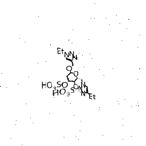 CCc1cn(C[C@H]2O[C@H](OCc3cn(CC)nn3)C[C@@H](OS(=O)(=O)O)[C@@H]2OS(=O)(=O)O)nn1